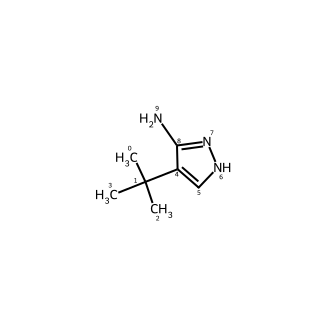 CC(C)(C)c1c[nH]nc1N